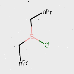 CCCCB(Cl)CCCC